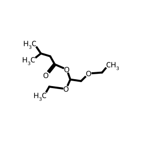 CCOCC(OCC)OC(=O)CC(C)C